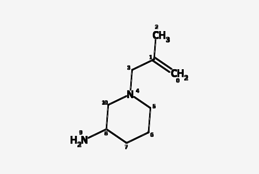 C=C(C)CN1CCCC(N)C1